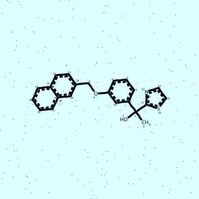 CC(O)(c1cccc(OCc2ccc3ccccc3c2)c1)c1nccs1